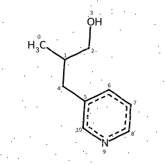 CC(CO)Cc1cccnc1